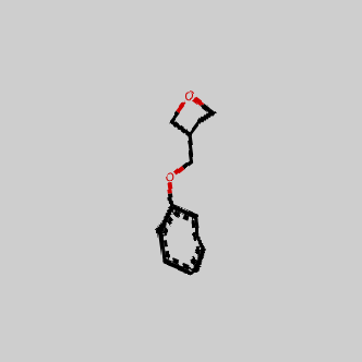 [c]1ccc(OCC2COC2)cc1